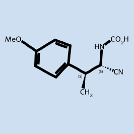 COc1ccc([C@H](C)[C@@H](C#N)NC(=O)O)cc1